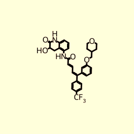 O=C(/C=C/C=C(/c1ccc(C(F)(F)F)cc1)c1cccc(OCC2CCOCC2)c1)Nc1cccc2c1CC(O)C(=O)N2